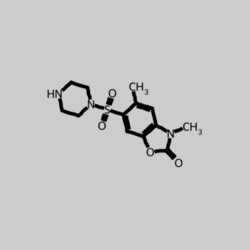 Cc1cc2c(cc1S(=O)(=O)N1CCNCC1)oc(=O)n2C